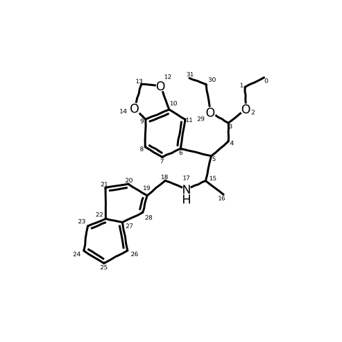 CCOC(CC(c1ccc2c(c1)OCO2)C(C)NCc1ccc2ccccc2c1)OCC